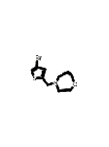 Brc1csc(CN2CCCOCC2)c1